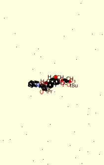 CC(C)C1=C2[C@H]3CC[C@@H]4[C@@]5(C)CC[C@H](OC(=O)CC(C)(C)C(=O)OC(C)(C)C)C(C)(C)[C@@H]5CC[C@@]4(C)[C@]3(C)CC[C@@]2([C@@H](O)CN2CCc3ccccc3C2)CC1=O